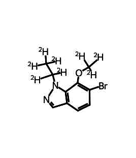 [2H]C([2H])([2H])Oc1c(Br)ccc2cnn(C([2H])([2H])C([2H])([2H])[2H])c12